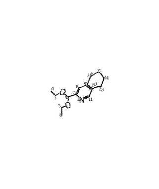 CCOC(OCC)c1cc2c(cn1)CCCC2